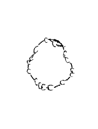 C1=CC2CCCCCCCCCCCCCCCCCCCC[C]1CC2